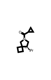 CC(C)[C@@H]1CN(C(=O)C2CC2)CC12CCC2